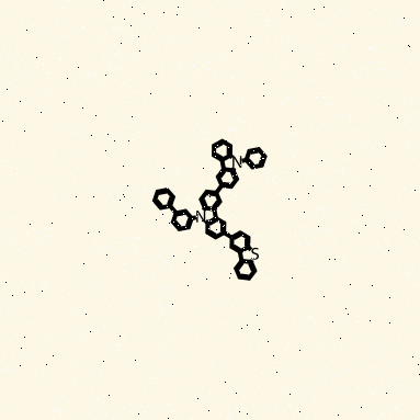 c1ccc(-c2cccc(-n3c4ccc(-c5ccc6sc7ccccc7c6c5)cc4c4cc(-c5ccc6c(c5)c5ccccc5n6-c5ccccc5)ccc43)c2)cc1